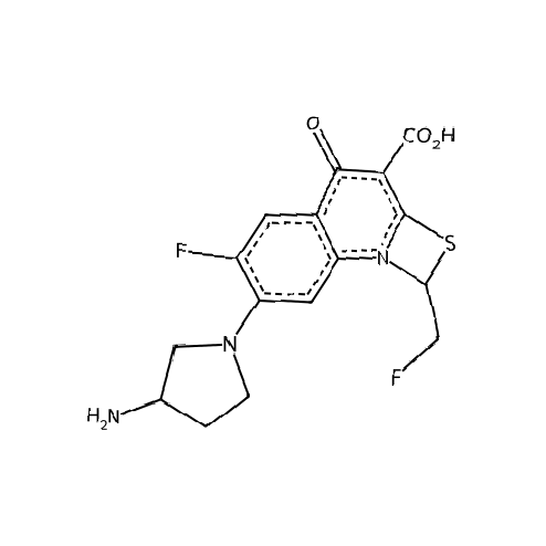 NC1CCN(c2cc3c(cc2F)c(=O)c(C(=O)O)c2n3C(CF)S2)C1